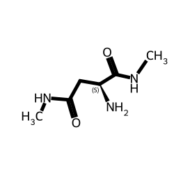 CNC(=O)C[C@H](N)C(=O)NC